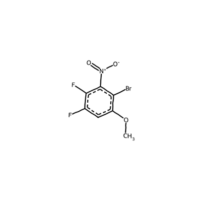 COc1cc(F)c(F)c([N+](=O)[O-])c1Br